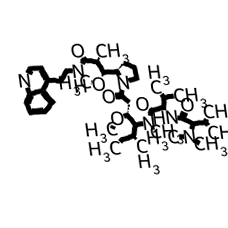 CC[C@H](C)C([C@@H](CC(=O)N1CCC[C@H]1[C@H](OC)[C@@H](C)C(=O)NCCc1ccnc2ccccc12)OC)N(C)C(=O)[C@@H](NC(=O)C(C(C)C)N(C)C)C(C)C